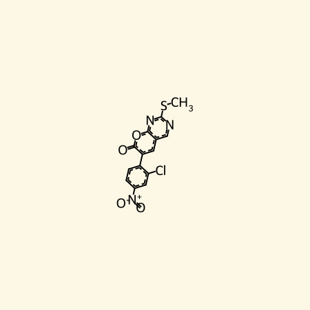 CSc1ncc2cc(-c3ccc([N+](=O)[O-])cc3Cl)c(=O)oc2n1